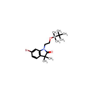 CC1(C)C(=O)N(CCO[Si](C)(C)C(C)(C)C)c2cc(Br)ccc21